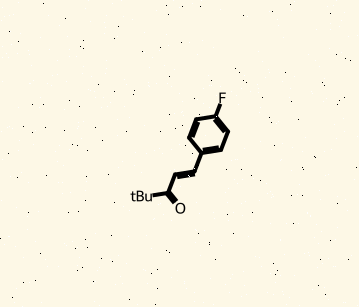 CC(C)(C)C(=O)C=Cc1ccc(F)cc1